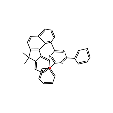 CC1(C)c2ccccc2-c2c1ccc1cccc(-c3nc(-c4ccccc4)nc(-c4ccccc4)n3)c21